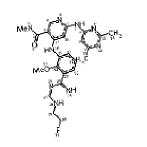 CNC(=O)c1cnc(Nc2cc(C)nc(C)n2)cc1Nc1cccc(C(=N)/N=C\NCCF)c1OC